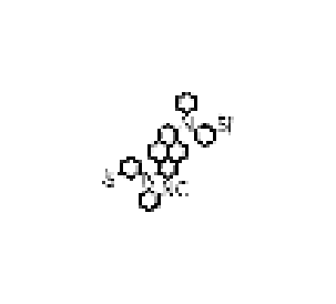 [C-]#[N+]c1ccccc1N(c1cccc([Si](C)(C)C)c1)c1ccc2ccc3c(N(c4ccccc4)c4cccc([Si](C)(C)C)c4)ccc4ccc1c2c43